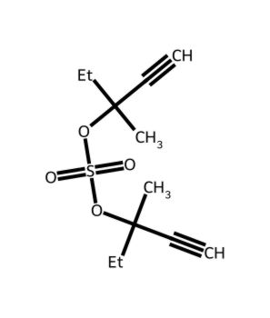 C#CC(C)(CC)OS(=O)(=O)OC(C)(C#C)CC